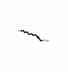 CCCCCCCCC#CCCCCCCCBr